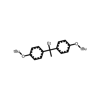 CCC(C)(c1ccc(OC(C)(C)C)cc1)c1ccc(OC(C)(C)C)cc1